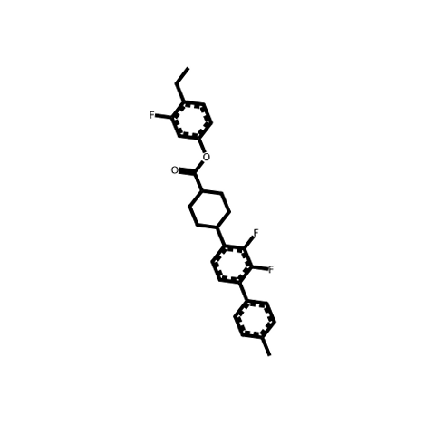 CCc1ccc(OC(=O)C2CCC(c3ccc(-c4ccc(C)cc4)c(F)c3F)CC2)cc1F